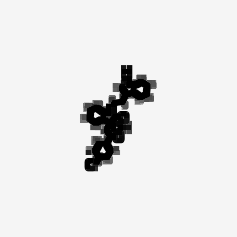 O=C(C[C@]1(O)C(=O)N(CCc2c[nH]c3ccccc23)c2ccccc21)c1ccc(Cl)cc1